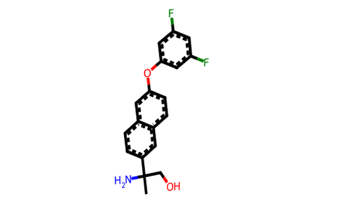 CC(N)(CO)c1ccc2cc(Oc3cc(F)cc(F)c3)ccc2c1